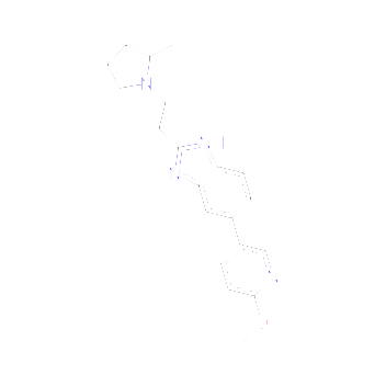 COc1ccc(-c2ccc3[nH]c(CCN4CCCC4C)nc3c2)cn1